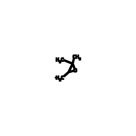 [CH2]C1OC1(C)C